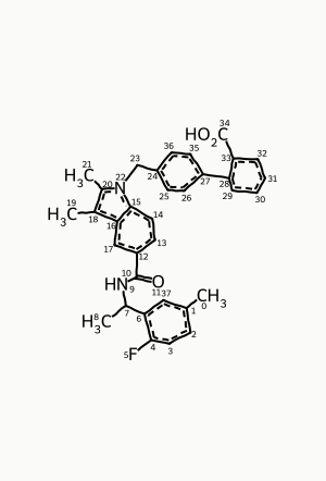 Cc1ccc(F)c(C(C)NC(=O)c2ccc3c(c2)c(C)c(C)n3Cc2ccc(-c3ccccc3C(=O)O)cc2)c1